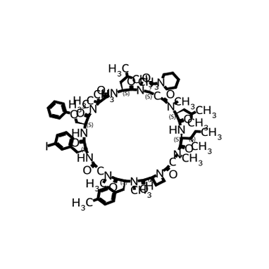 CC[C@H](C)[C@@H]1NC(=O)[C@H](CC(C)C)N(C)C(=O)C[C@@H](C(=O)N2CCCCC2)N(C)C(=O)[C@H](CC(C)C)NC(=O)C(C)(C)N(C)C(=O)[C@H](COc2ccccc2)NC(=O)[C@H](Cc2cccc(I)c2)NC(=O)CN(C)C(=O)[C@H](Cc2ccc(C)cc2)N(C)C(=O)[C@@H]2CCN2C(=O)CN(C)C1=O